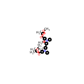 C=C(COC(=O)c1ccc(N(c2ccccc2)c2ccc(-c3ccc(N(c4ccccc4)c4ccc(C(=O)OCC(=C)C(=O)OCC)cc4)c(OC)c3)cc2C)cc1)C(=C)OCC